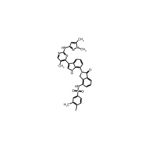 Cc1cc(S(=O)(=O)Nc2cccc3c2CN(c2cccc4c(-c5nc(Nc6cc(C)n(C)n6)ncc5C)c[nH]c24)C3=O)ccc1F